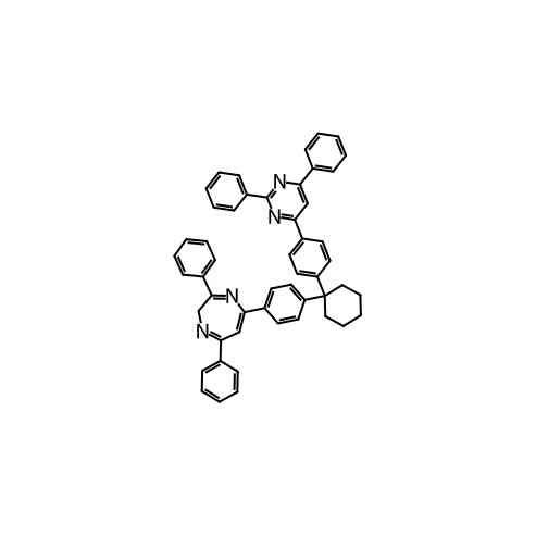 C1=C(c2ccc(C3(c4ccc(-c5cc(-c6ccccc6)nc(-c6ccccc6)n5)cc4)CCCCC3)cc2)N=C(c2ccccc2)CN=C1c1ccccc1